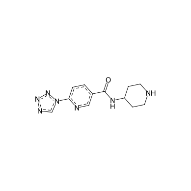 O=C(NC1CCNCC1)c1ccc(-n2cnnn2)nc1